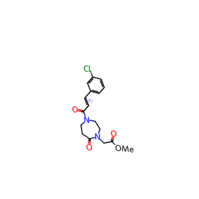 COC(=O)CN1CCN(C(=O)/C=C/c2cccc(Cl)c2)CCC1=O